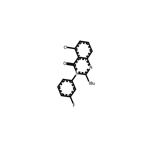 CC(C)(C)c1nc2cccc(Cl)c2c(=O)n1-c1cccc(F)c1